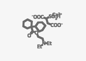 CCN(CC)CCOC(=O)C1(C2CCCCC2)CCCCC1.O=C([O-])CC(C(=O)[O-])S(=O)(=O)O.[Ca+2]